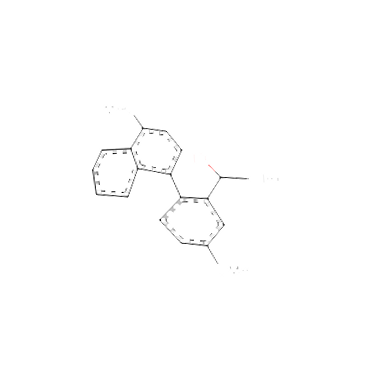 CCCCCCC(O)c1cc(OC)ccc1-c1ccc(OC)c2ccccc12